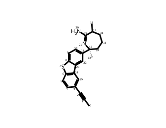 CC#Cc1ccc2sc3ccc([C@]4(C)CCCC(C)C(N)=N4)cc3c2c1